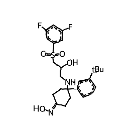 CC(C)(C)c1cccc(C2(NCC(O)CS(=O)(=O)c3cc(F)cc(F)c3)CCC(=NO)CC2)c1